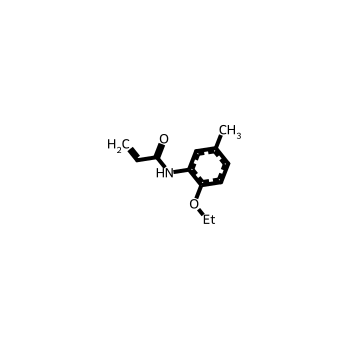 C=CC(=O)Nc1cc(C)ccc1OCC